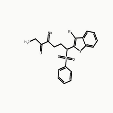 CCC(=O)C(=N)CCN(c1sc2ccccc2c1Br)S(=O)(=O)c1ccccc1